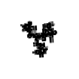 CC(=O)NC(CCC(=O)NCc1c(O)c(=O)cc(C)n1C)(CCC(=O)NCc1c(O)c(=O)cc(C)n1C)CCC(=O)NCc1c(O)c(=O)cc(C)n1C.Cl.Cl.Cl